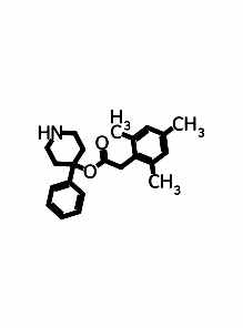 Cc1cc(C)c(CC(=O)OC2(c3ccccc3)CCNCC2)c(C)c1